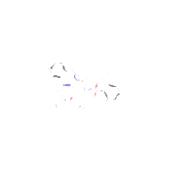 COC(=O)[C@@H](Nc1nc(CNS(=O)(=O)c2ccccc2Br)nc2ccccc12)C(C)C